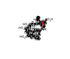 CC(C)C[C@H](NC(=O)[C@H](CCCNC(=N)N)NC(=O)[C@H](CO)NC(=O)[C@H](Cc1c[nH]cn1)NC(=O)[C@H](CCCNC(=N)N)NC(=O)[C@H](C)N)C(=O)N[C@@H](CCC(=O)O)C(=O)N[C@@H](CO)C(=O)N[C@@H](CO)C(=O)N[C@@H](CC(=O)O)C(=O)NCC(=O)N[C@@H](CC(=O)O)C(=O)NCC(=O)N[C@@H](C)C(=O)N[C@@H](Cc1c[nH]c2ccccc12)C(=O)N[C@@H](CS)C(=O)N1CCC[C@H]1C(=O)N[C@@H](C)C(=O)NCC(=O)O